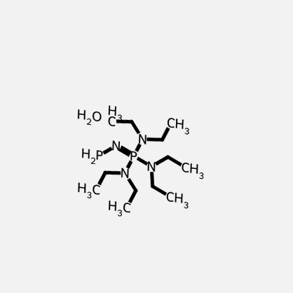 CCN(CC)P(=NP)(N(CC)CC)N(CC)CC.O